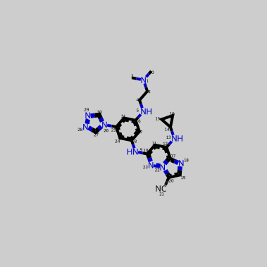 CN(C)CCNc1cc(Nc2cc(NC3CC3)c3ncc(C#N)n3n2)cc(-n2cnnc2)c1